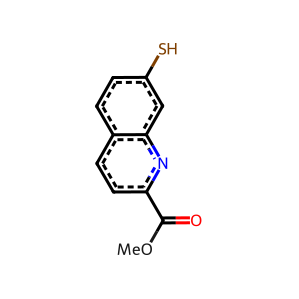 COC(=O)c1ccc2ccc(S)cc2n1